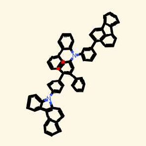 c1ccc(-c2cc(N(c3cccc(-c4ccc5c6c(cccc46)-c4ccccc4-5)c3)c3ccccc3-c3ccccc3)ccc2-c2ccc(-n3c4ccccc4c4c5ccccc5ccc43)cc2)cc1